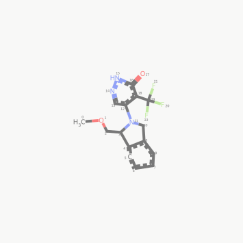 COCC1c2ccccc2CN1c1cn[nH]c(=O)c1C(F)(F)F